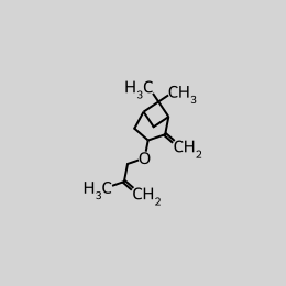 C=C(C)COC1CC2CC(C1=C)C2(C)C